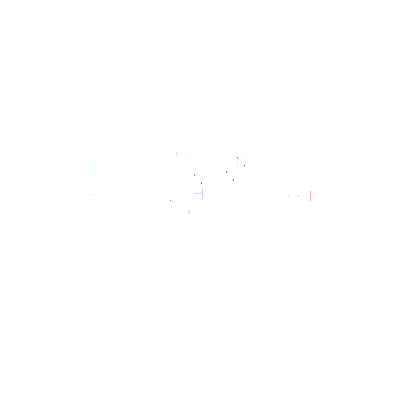 O=C1CC[C@H](C[C@@H](C(=O)Nc2ccn(CCCO)n2)c2cccc(C(F)(F)F)c2)C1